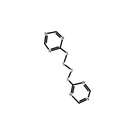 c1ncnc(SSSSc2ncncn2)n1